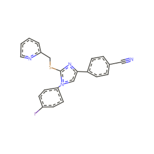 N#Cc1ccc(-c2cn(-c3ccc(I)cc3)c(SCc3ccccn3)n2)cc1